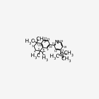 CC1(C)CCC(C)(C)c2cc(-c3cc([Si](C)(C)C)ccn3)ccc21